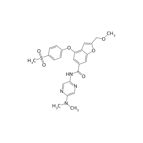 COCc1cc2c(Oc3ccc(S(C)(=O)=O)cc3)cc(C(=O)Nc3cnc(N(C)C)cn3)cc2o1